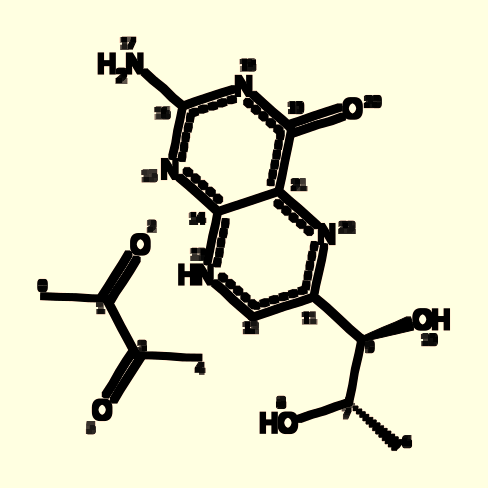 CC(=O)C(C)=O.C[C@H](O)[C@H](O)c1c[nH]c2nc(N)nc(=O)c-2n1